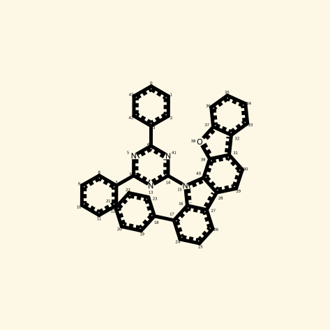 c1ccc(-c2nc(-c3ccccc3)nc(-n3c4c(-c5ccccc5)cccc4c4ccc5c6ccccc6oc5c43)n2)cc1